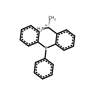 C[C@@H](N)c1ccccc1P(c1ccccc1)c1ccccc1